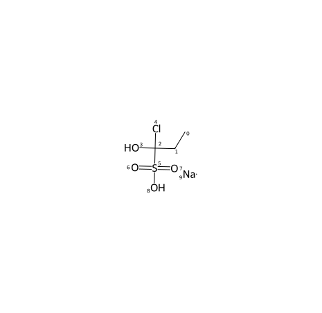 CCC(O)(Cl)S(=O)(=O)O.[Na]